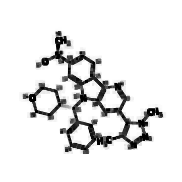 Cc1nnn(C)c1-c1cnc2c3ccc([S@+](C)[O-])cc3n([C@H](c3ccccc3)C3CCOCC3)c2c1